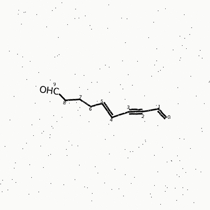 C=CC#C/C=C/CCCC=O